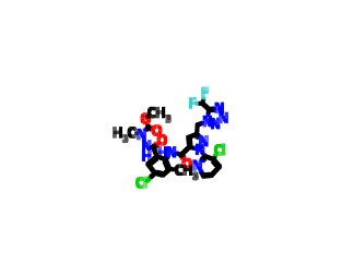 COC(=O)N(C)NC(=O)c1cc(Cl)cc(C)c1NC(=O)c1cc(Cn2nnnc2C(F)F)nn1-c1ncccc1Cl